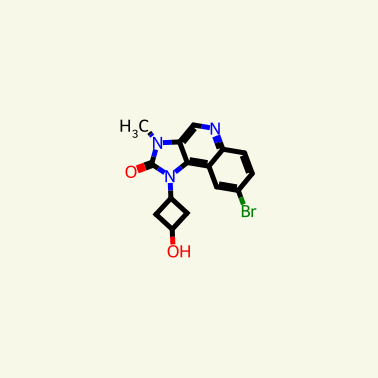 Cn1c(=O)n(C2CC(O)C2)c2c3cc(Br)ccc3ncc21